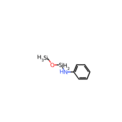 [SiH3]O[SiH2]Nc1ccccc1